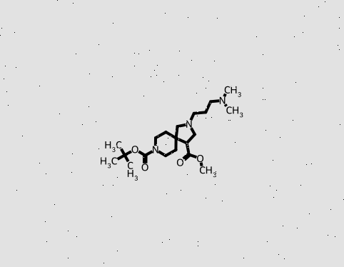 COC(=O)C1CN(CCCN(C)C)CC12CCN(C(=O)OC(C)(C)C)CC2